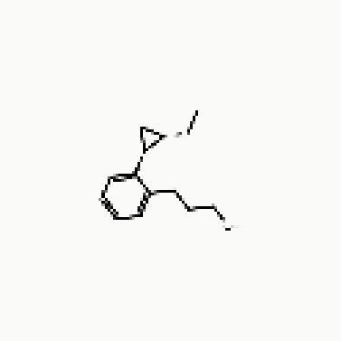 CC[C@H]1C[C@@H]1c1ccccc1CCCO